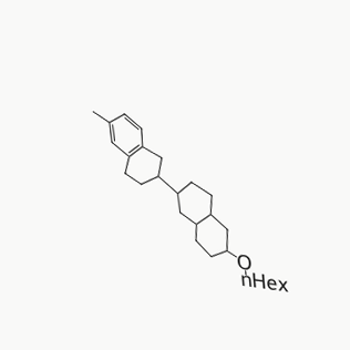 CCCCCCOC1CCC2CC(C3CCc4cc(C)ccc4C3)CCC2C1